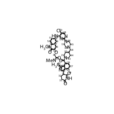 CNC(=O)COc1cc2cc(Nc3nc(N4CCN(CC5CCN(C(=O)c6cccc7c(C8CCC(=O)NC8=O)nn(C)c67)CC5)CC4)ncc3Cl)ccc2n(C)c1=O